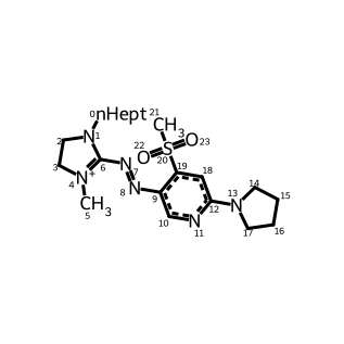 CCCCCCCN1CC[N+](C)=C1/N=N/c1cnc(N2CCCC2)cc1S(C)(=O)=O